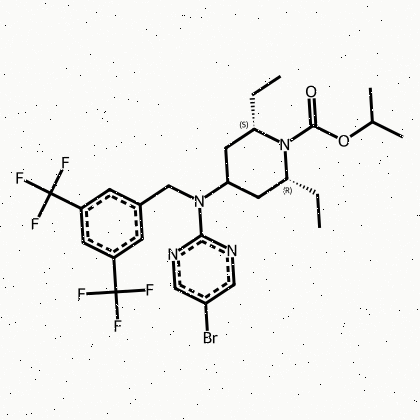 CC[C@@H]1CC(N(Cc2cc(C(F)(F)F)cc(C(F)(F)F)c2)c2ncc(Br)cn2)C[C@H](CC)N1C(=O)OC(C)C